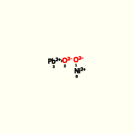 [Ni+2].[O-2].[O-2].[Pb+2]